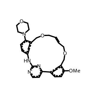 COc1ccc2cc1COC/C=C/COCc1cc(ccc1N1CCOCC1)Nc1nccc-2n1